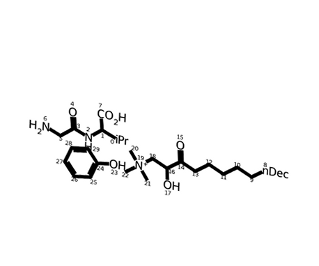 CC(C)C(NC(=O)CN)C(=O)O.CCCCCCCCCCCCCCCC(=O)C(O)C[N+](C)(C)C.Oc1ccccc1